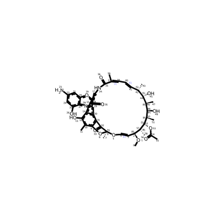 CO[C@H]1/C=C/O[C@@]2(C)Oc3c(C)c(O)c4c(=O)c(c5oc6cc(N)cc(O)c6nc-5c4c3C2=O)NC(=O)/C(C)=C\C=C\[C@H](C)[C@H](O)[C@@H](C)[C@@H](O)[C@@H](C)[C@H](OC(C)=O)[C@@H]1C